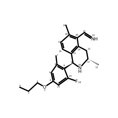 CCCOc1cc(C)c([C@@H]2N[C@@H](C)Cc3c2ccc(C)c3C=N)c(F)c1